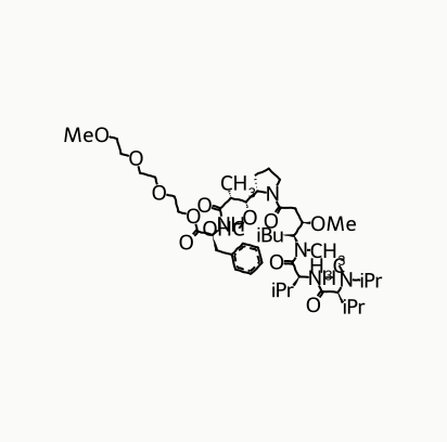 CC[C@H](C)[C@@H]([C@@H](CC(=O)N1CCC[C@H]1[C@H](OC=O)[C@@H](C)C(=O)N[C@@H](Cc1ccccc1)C(=O)OCCOCCOCCOC)OC)N(C)C(=O)[C@@H](NC(=O)[C@H](C(C)C)N(C)C(C)C)C(C)C